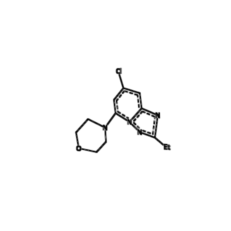 CCc1nc2cc(Cl)cc(N3CCOCC3)n2n1